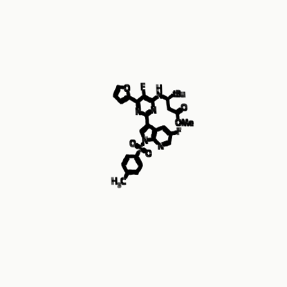 COC(=O)C[C@@H](Nc1nc(-c2cn(S(=O)(=O)c3ccc(C)cc3)c3ncc(F)cc23)nc(-c2ccco2)c1F)C(C)(C)C